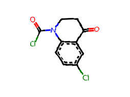 O=C1CCN(C(=O)Cl)c2ccc(Cl)cc21